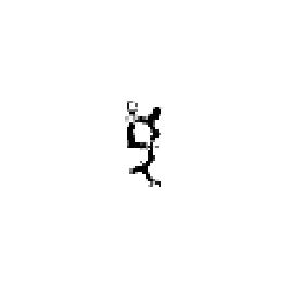 C=C1CN(CC(C)C(C)C)CCN1CC